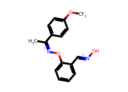 C/C(=N/Oc1ccccc1/C=N/O)c1ccc(OC(F)(F)F)cc1